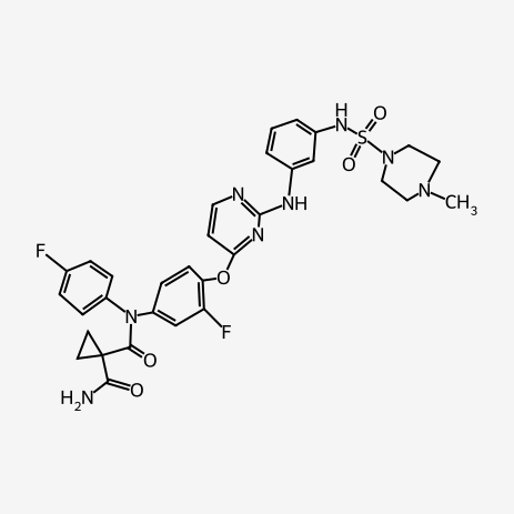 CN1CCN(S(=O)(=O)Nc2cccc(Nc3nccc(Oc4ccc(N(C(=O)C5(C(N)=O)CC5)c5ccc(F)cc5)cc4F)n3)c2)CC1